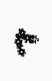 CC1CN(c2ccncc2NC(=O)c2ccc3sc(-c4ccccc4)cc3n2)CC(N)C1O